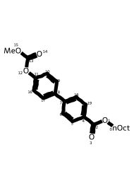 CCCCCCCCOC(=O)c1ccc(-c2ccc(OC(=O)OC)cc2)cc1